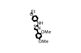 CCOc1ccc(Nc2nc(-c3ccc(OC)cc3OC)cs2)cc1